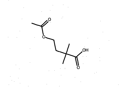 CC(=O)OCCC(C)(C)C(=O)O